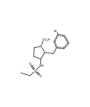 O=C(O)N1CCC(NS(=O)(=O)CF)C1Cc1cccc(Br)c1